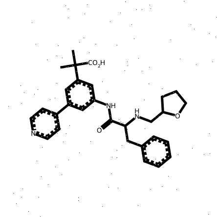 CC(C)(C(=O)O)c1cc(NC(=O)C(Cc2ccccc2)NCC2CCCO2)cc(-c2ccncc2)c1